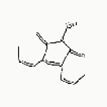 C=C1C(/C=C\C)=C(/C=C\C)C(=O)N1C(C)(C)C